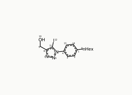 CCCCCCc1ccc(-n2nnc(CO)c2I)cc1